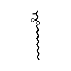 CCCCCCCC=CC=CCOC(=O)CC(C)C